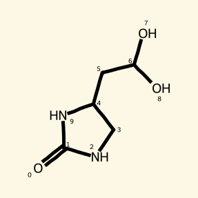 O=C1NCC(CC(O)O)N1